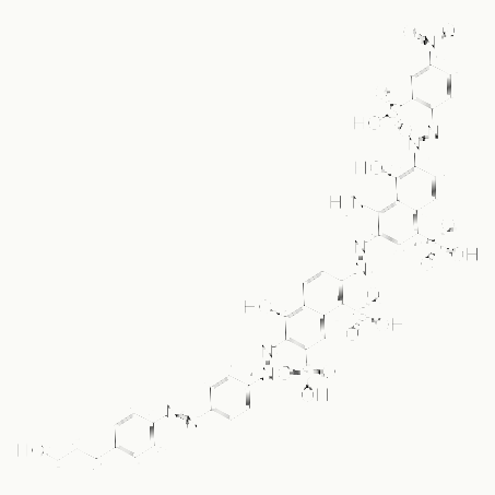 Nc1c(N=Nc2ccc3c(O)c(N=Nc4ccc(N=Nc5ccc(CCCO)cc5)cc4)c(S(=O)(=O)O)cc3c2S(=O)(=O)O)cc(S(=O)(=O)O)c2ccc(N=Nc3ccc([N+](=O)[O-])cc3S(=O)(=O)O)c(O)c12